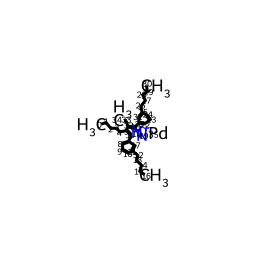 CCCCCC1=C(c2cccc(CCCCC)c2)[N+](=[N-])C(c2cccc(CCCCC)c2)=C1CC.[Pd]